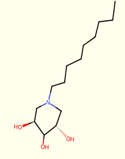 CCCCCCCCCN1C[C@H](O)C(O)[C@@H](O)C1